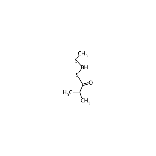 CSBSC(=O)C(C)C